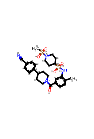 Cc1ccc(C(=O)N2CCC(c3ccc(C#N)cc3)CC2)cc1NS(=O)(=O)C1CCN(S(C)(=O)=O)CC1